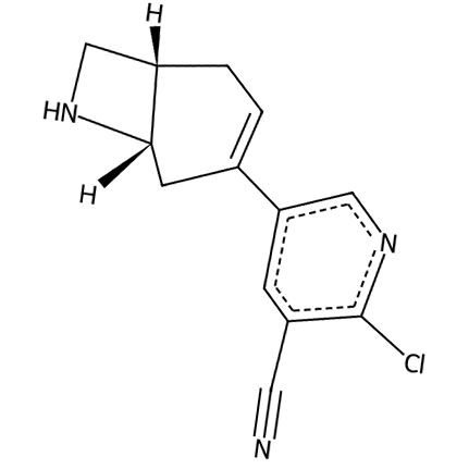 N#Cc1cc(C2=CC[C@H]3CN[C@H]3C2)cnc1Cl